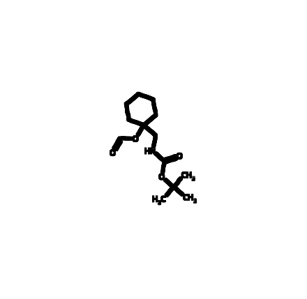 CC(C)(C)OC(=O)NCC1(OC=O)CCCCC1